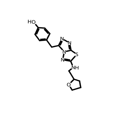 Oc1ccc(Cc2nnc3sc(NCC4CCCO4)nn23)cc1